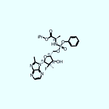 Cc1nc2nccnc2n1[C@@H]1O[C@H](COP(=O)(N[C@H](C)C(=O)OC(C)C)Oc2ccccc2)[C@@H](O)[C@@]1(C)F